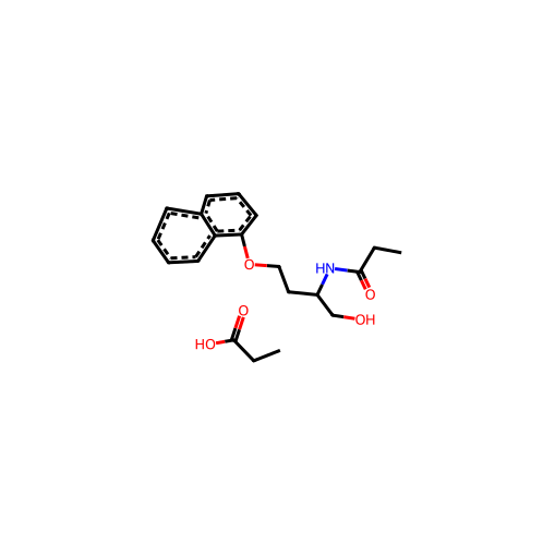 CCC(=O)NC(CO)CCOc1cccc2ccccc12.CCC(=O)O